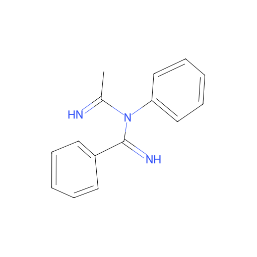 CC(=N)N(C(=N)c1ccccc1)c1ccccc1